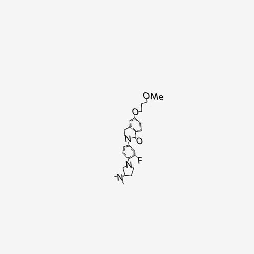 COCCCOc1ccc2c(c1)CCN(c1ccc(N3CC[C@@H](N(C)C)C3)c(F)c1)C2=O